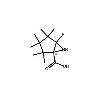 CC1(C)C(C)(C)C2(F)N[C@]2(C(=O)O)C1(C)C